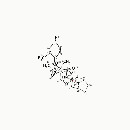 CC(C)(Oc1ccc(F)cc1C(F)(F)F)C(=O)NC1CC2CCC(C1)N2c1ccc(S(C)(=O)=O)nc1